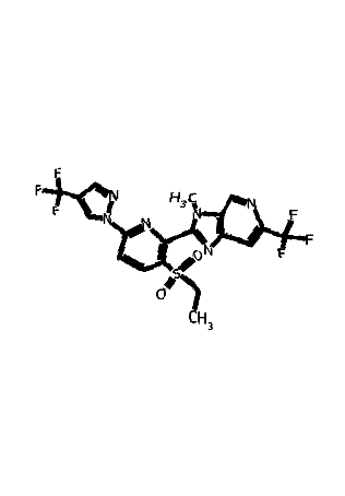 CCS(=O)(=O)c1ccc(-n2cc(C(F)(F)F)cn2)nc1-c1nc2cc(C(F)(F)F)ncc2n1C